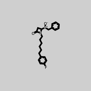 O=C1CC([S+]([O-])Cc2ccccc2)N1CCCCCCc1ccc(F)cc1